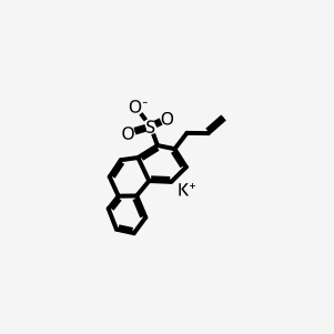 C=CCc1ccc2c(ccc3ccccc32)c1S(=O)(=O)[O-].[K+]